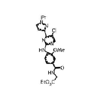 CCOC(=O)CNC(=O)c1ccc(Nc2ncc(Cl)c(-c3ccn(C(C)C)n3)n2)c(OC)c1